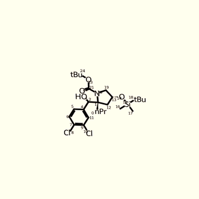 CCC[C@]1(C(O)c2ccc(Cl)c(Cl)c2)C[C@@H](O[Si](C)(C)C(C)(C)C)CN1C(=O)OC(C)(C)C